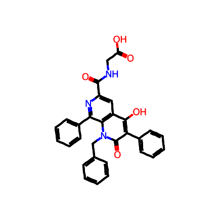 O=C(O)CNC(=O)c1cc2c(O)c(-c3ccccc3)c(=O)n(Cc3ccccc3)c2c(-c2ccccc2)n1